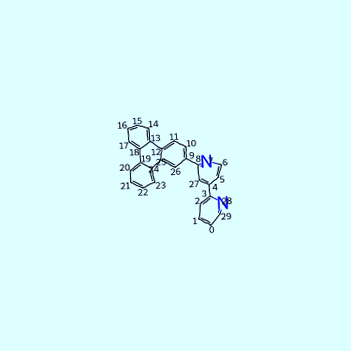 c1ccc(-c2ccnc(-c3ccc4c5ccccc5c5ccccc5c4c3)c2)nc1